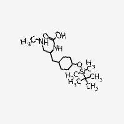 CNCC(CC1CCC(O[Si](C)(C)C(C)(C)C)CC1)NC(=O)O